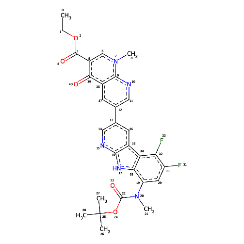 CCOC(=O)c1cn(C)c2ncc(-c3cnc4[nH]c5c(N(C)C(=O)OC(C)(C)C)cc(F)c(F)c5c4c3)cc2c1=O